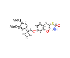 COc1ccc(C2(COc3ccc(CC4SC(=O)NC4=O)cc3)CCC2)cc1OC